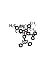 Cc1cc(C)c(-c2ccc3c(c2)c2cc(-c4c(C)cc(C)cc4C)ccc2n3-c2ccc(-c3nc(-c4ccccc4)cc(-c4ccccc4)n3)cc2-c2cccc(-n3c4ccccc4c4ccccc43)c2)c(C)c1